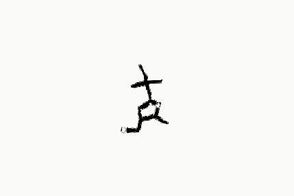 Cc1oc(C(C)(C)C)cc1C=O